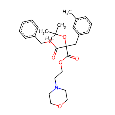 Cc1cccc(CC(OC(C)(C)C)(C(=O)OCCN2CCOCC2)C(=O)OCc2ccccc2)c1